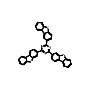 c1ccc2c(c1)oc1cc(-c3nc(-c4ccc5c(c4)sc4ccccc45)nc(-c4ccc5oc6ccccc6c5c4)n3)ccc12